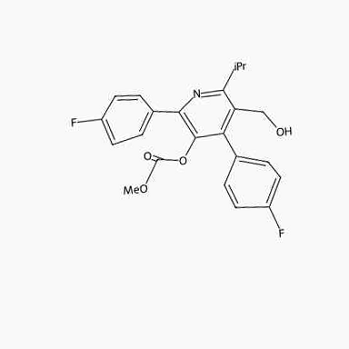 COC(=O)Oc1c(-c2ccc(F)cc2)nc(C(C)C)c(CO)c1-c1ccc(F)cc1